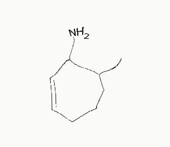 CC1CCC=CC1N